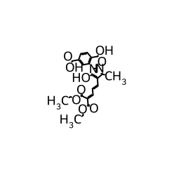 CCOC(=O)C(=CC=Cc1c(C)nn(-c2cc(C(=O)O)ccc2C(=O)O)c1O)C(=O)OCC